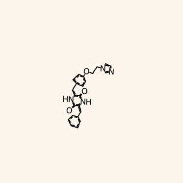 O=c1[nH]c(=Cc2ccc(OCCn3ccnc3)cc2)c(=O)[nH]c1=Cc1ccccc1